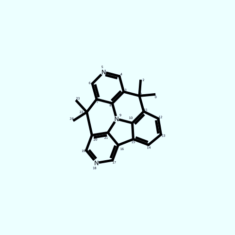 CC1(C)c2cncc3c2-n2c4c1cccc4c1cncc(c12)C3(C)C